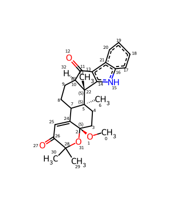 CO[C@]12CC[C@@]3(C)C(CC[C@H]4C(=O)c5c([nH]c6ccccc56)[C@@]43C)C1=CC(=O)C(C)(C)O2